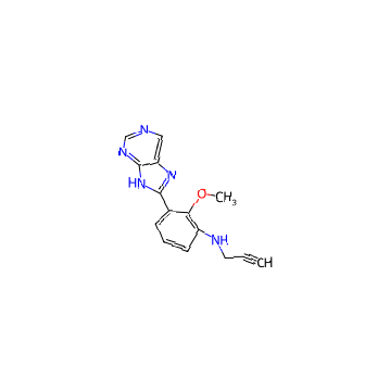 C#CCNc1cccc(-c2nc3cncnc3[nH]2)c1OC